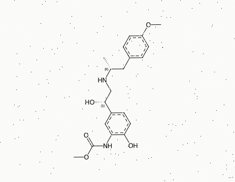 COC(=O)Nc1cc([C@H](O)CN[C@H](C)Cc2ccc(OC)cc2)ccc1O